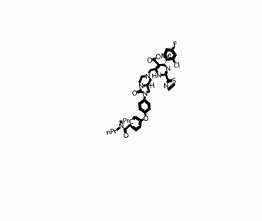 CCCN(CCC)C(=O)c1ccc(Oc2ccc(N3C[C@@H]4CN(CC5=C(C(=O)OC)[C@H](c6ccc(F)cc6Cl)N=C(c6nccs6)N5)CCN4C3=O)cc2)cc1